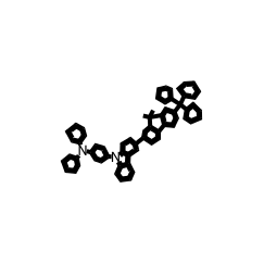 CC1(C)c2cc(-c3ccc4c(c3)c3ccccc3n4-c3ccc(N(c4ccccc4)c4ccccc4)cc3)ccc2-c2ccc(C(c3ccccc3)(c3ccccc3)c3ccccc3)cc21